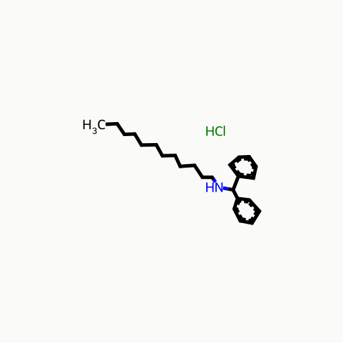 CCCCCCCCCCCCNC(c1ccccc1)c1ccccc1.Cl